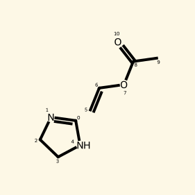 C1=NCCN1.C=COC(C)=O